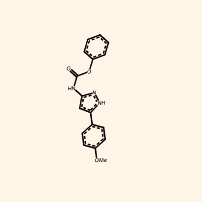 COc1ccc(-c2cc(NC(=O)Oc3ccccc3)n[nH]2)cc1